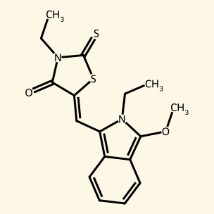 CCN1C(=O)C(=Cc2c3ccccc3c(OC)n2CC)SC1=S